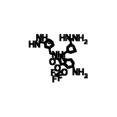 N=C(N)c1cccc(CNC(=O)c2c(OC(=O)C(F)(F)F)c3cc(N)ccc3n2Cc2cccc(C(=N)N)c2)c1